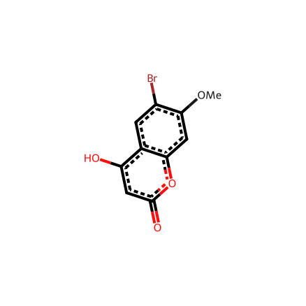 COc1cc2oc(=O)cc(O)c2cc1Br